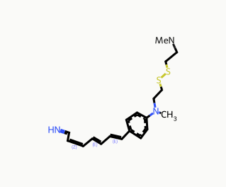 CNCCSSCCN(C)c1ccc(/C=C/C=C/C=C\C=N)cc1